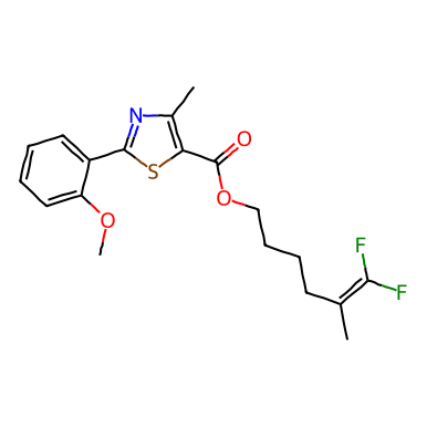 COc1ccccc1-c1nc(C)c(C(=O)OCCCCC(C)=C(F)F)s1